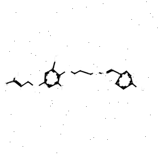 CCc1cc(OCC=C(Cl)Cl)cc(CC)c1OCCCO/N=C/c1ccc(Cl)cc1